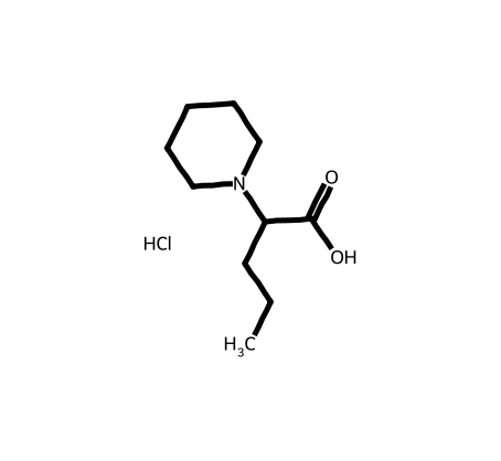 CCCC(C(=O)O)N1CCCCC1.Cl